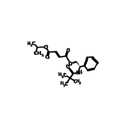 CC(C)OC(=O)/C=C/C(=O)OC[C@@H](NC(=O)C(C)(C)C)c1ccccc1